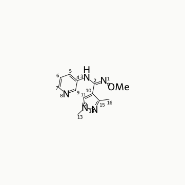 CO/N=C(/Nc1cccnc1)c1cn(C)nc1C